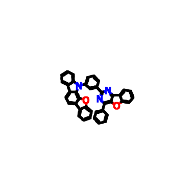 c1ccc(-c2nc(-c3cccc(-n4c5ccccc5c5ccc6c7ccccc7oc6c54)c3)nc3c2oc2ccccc23)cc1